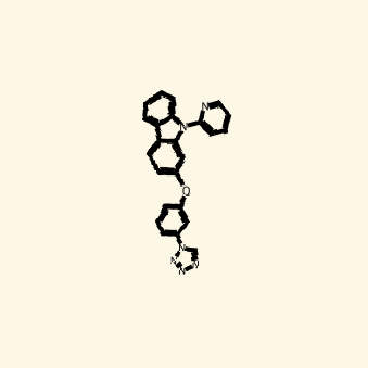 c1ccc(-n2c3ccccc3c3ccc(Oc4cccc(-n5cnnn5)c4)cc32)nc1